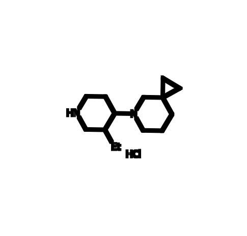 CCC1CNCCC1N1CCCC2(CC2)C1.Cl